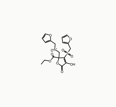 CCOC(=O)C1(C[S+]([O-])Cc2ccco2)OC(=O)C(O)=C1S(=O)(=O)Cc1ccco1